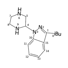 CCC(C)c1nn(C2CNCCN2)c2ccccc12